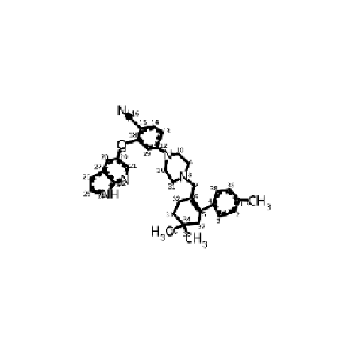 Cc1ccc(C2=C(CN3CCN(c4ccc(C#N)c(Oc5cnc6[nH]ccc6c5)c4)CC3)CCC(C)(C)C2)cc1